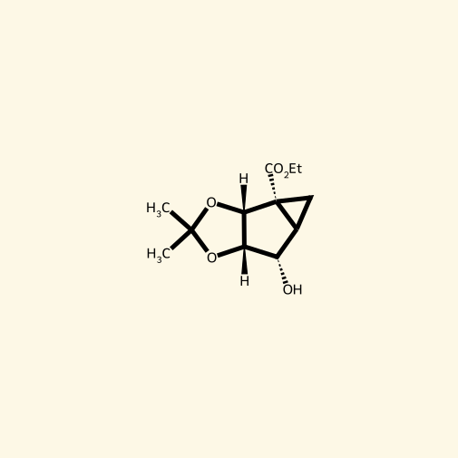 CCOC(=O)[C@]12CC1[C@H](O)[C@@H]1OC(C)(C)O[C@@H]12